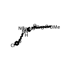 COCCOCCOCCOCC(=O)OC[n+]1ccc(N/C(=N\CCCCCCOc2ccc(Cl)cc2)NC#N)cc1